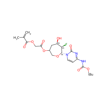 C=C(C)C(=O)OCC(=O)OC1CO[C@@H](n2ccc(NC(=O)OC(C)(C)C)nc2=O)[C@H](F)[C@H](O)C1